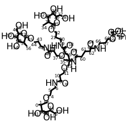 CC1[C@H](OCCCNC(=O)CCOCC(CCC(=O)NCCCO[C@@H]2OC(CO)[C@H](O)[C@H](O)C2C)(COCCC(=O)NCCCO[C@@H]2OC(CO)[C@H](O)[C@H](O)C2C)NC(=O)CCCC(=O)NCCCOP(=O)(O)C(C)C)OC(CO)[C@H](O)[C@@H]1O